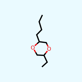 CCCCC1COC(CC)CO1